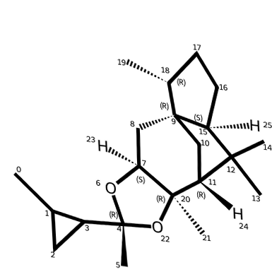 CC1CC1[C@]1(C)O[C@H]2C[C@@]34C[C@H](C(C)(C)[C@@H]3CC[C@H]4C)[C@@]2(C)O1